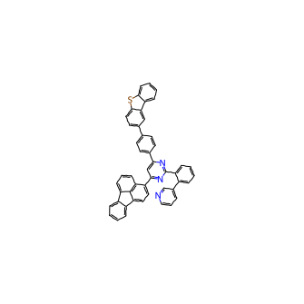 c1cncc(-c2ccccc2-c2nc(-c3ccc(-c4ccc5sc6ccccc6c5c4)cc3)cc(-c3ccc4c5c(cccc35)-c3ccccc3-4)n2)c1